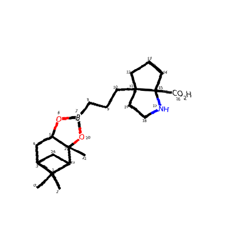 CC1(C)C2CC3OB(CCCC45CCCC4(C(=O)O)NCC5)OC3(C)C1C2